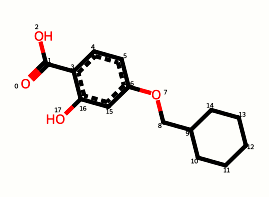 O=C(O)c1ccc(OCC2CCCCC2)cc1O